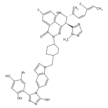 C=C(/C=C\C(F)=C/C)[C@H]1Nc2cc(F)cc3c(=O)n(C4CCC(Cn5ccc6cc(-n7c(O)nnc7-c7cc(C(C)C)c(O)cc7O)ccc65)CC4)nc(c23)[C@@H]1c1ncnn1C